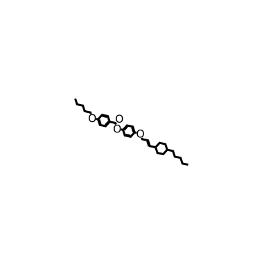 CCCCCOc1ccc(C(=O)Oc2ccc(OCC=CC3CCC(CCCCC)CC3)cc2)cc1